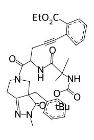 CCOC(=O)c1ccccc1C#CCC(NC(=O)C(C)(C)NC(=O)OC(C)(C)C)C(=O)N1CCC2=NN(C)C(=O)C2(Cc2ccccc2)C1